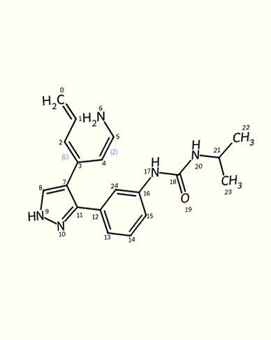 C=C/C=C(\C=C/N)c1c[nH]nc1-c1cccc(NC(=O)NC(C)C)c1